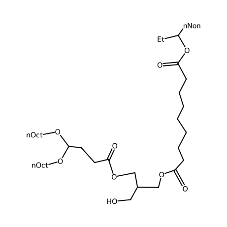 CCCCCCCCCC(CC)OC(=O)CCCCCCCC(=O)OCC(CO)COC(=O)CCC(OCCCCCCCC)OCCCCCCCC